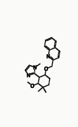 COC1C(c2nccn2C)C(OCc2ccc3ccccc3n2)CCC1(C)C